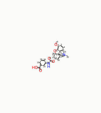 COc1ccc2c3c1O[C@@]1(C)C[C@@H](OC(=O)Nc4cccc(C(=O)O)c4)C=C[C@@]31CCN(C)C2